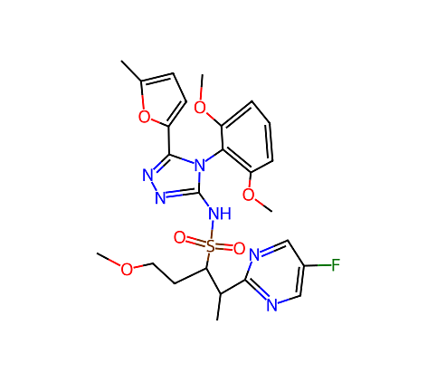 COCCC(C(C)c1ncc(F)cn1)S(=O)(=O)Nc1nnc(-c2ccc(C)o2)n1-c1c(OC)cccc1OC